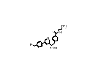 CCCCCC[C@@H](Oc1ccc(C(=O)NCCC(=O)O)cc1)c1cncc(-c2ccc(CC(C)C)cc2)c1